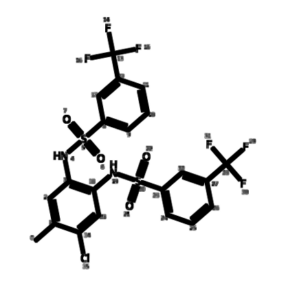 Cc1cc(NS(=O)(=O)c2cccc(C(F)(F)F)c2)c(NS(=O)(=O)c2cccc(C(F)(F)F)c2)cc1Cl